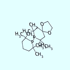 CC1(C)CCCC(C)(C)P1P1C(C)(C)CC2(CC1(C)C)OCCO2